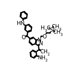 C=C(c1ccccc1N)c1nn(COCC[Si](C)(C)C)c2cc(C(=O)c3cccc(Nc4ccccc4)c3)ccc12